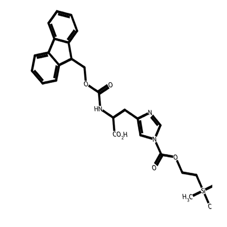 C[Si](C)(C)CCOC(=O)n1cnc(CC(NC(=O)OCC2c3ccccc3-c3ccccc32)C(=O)O)c1